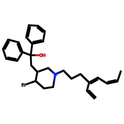 C=C/C(=C\C=C/C)CCCN1CCC(CC)C(CC(O)(c2ccccc2)c2ccccc2)C1